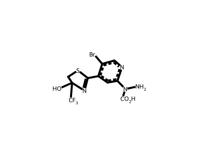 NN(C(=O)O)c1cc(C2=NC(O)(C(F)(F)F)CS2)c(Br)cn1